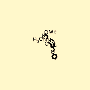 COc1cc(N2CCn3nc(COc4ccccc4)cc3C2=O)nc(C)n1